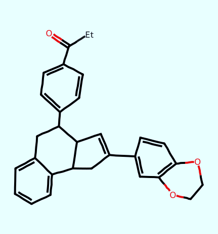 CCC(=O)c1ccc(C2Cc3ccccc3C3CC(c4ccc5c(c4)OCCO5)=CC23)cc1